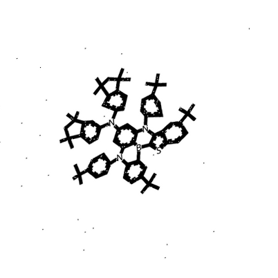 CC(C)(C)c1ccc(N2c3ccc(C(C)(C)C)cc3B3c4sc5ccc(C(C)(C)C)cc5c4N(c4ccc(C(C)(C)C)cc4)c4cc(N(c5ccc6c(c5)C(C)(C)CC6(C)C)c5ccc6c(c5)C(C)(C)CC6(C)C)cc2c43)cc1